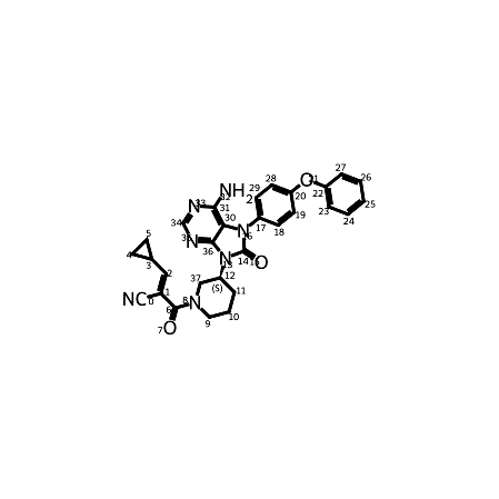 N#CC(=CC1CC1)C(=O)N1CCC[C@H](n2c(=O)n(-c3ccc(Oc4ccccc4)cc3)c3c(N)ncnc32)C1